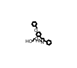 OCCOc1cc(OCc2ccccc2)ccc1-c1cc(-c2ccccc2)n[nH]1